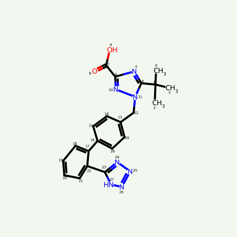 CC(C)(C)c1nc(C(=O)O)nn1Cc1ccc(-c2ccccc2-c2nnn[nH]2)cc1